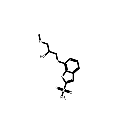 COCC(O)COc1cccc2cc(S(N)(=O)=O)sc12